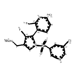 CNCc1cn(S(=O)(=O)c2cncc(Cl)c2)c(-c2cccnc2F)c1F.Cl